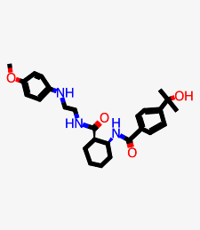 COc1ccc(NCCNC(=O)[C@@H]2CCCC[C@@H]2NC(=O)c2ccc(C(C)(C)O)cc2)cc1